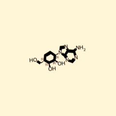 Nc1ncnc2c1ncn2[C@H]1C=C[C@@H](CO)[C@H](O)[C@@H]1O